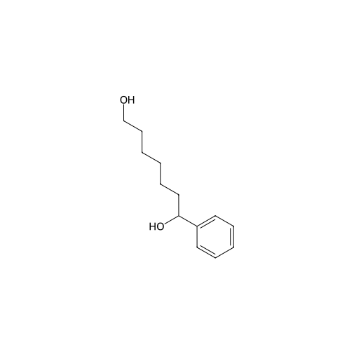 OCCCCCCC(O)c1ccccc1